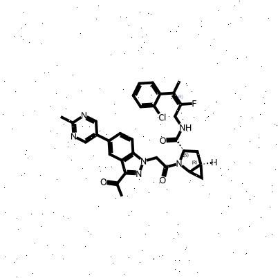 CC(=O)c1nn(CC(=O)N2C3C[C@@H]3C[C@H]2C(=O)NC/C(F)=C(/C)c2ccccc2Cl)c2ccc(-c3cnc(C)nc3)cc12